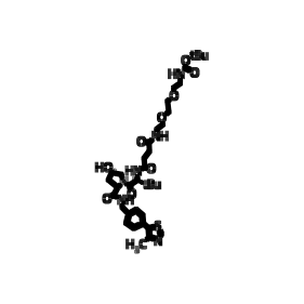 Cc1ncsc1-c1ccc(CNC(=O)C2C[C@@H](O)CN2C(=O)[C@@H](NC(=O)CCC(=O)NCCOCCOCCNC(=O)OC(C)(C)C)C(C)(C)C)cc1